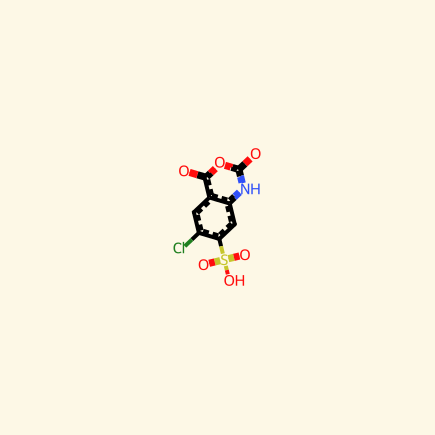 O=c1[nH]c2cc(S(=O)(=O)O)c(Cl)cc2c(=O)o1